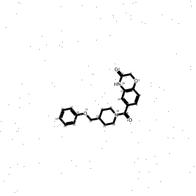 O=C1COc2ccc(C(=O)N3CCC(COc4ccccc4)CC3)cc2N1